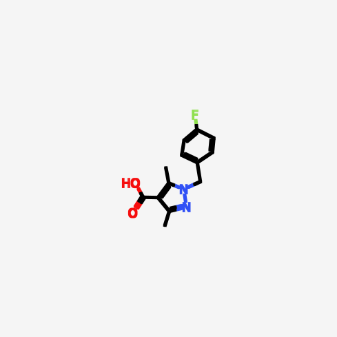 Cc1nn(Cc2ccc(F)cc2)c(C)c1C(=O)O